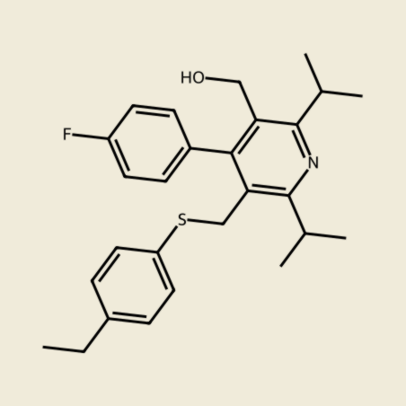 CCc1ccc(SCc2c(C(C)C)nc(C(C)C)c(CO)c2-c2ccc(F)cc2)cc1